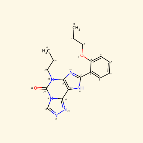 CCCOc1ccccc1-c1nc2c([nH]1)c1nncn1c(=O)n2CCC